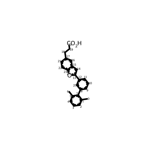 Cc1cccc(C)c1-c1cccc(-c2cc3cc(CCC(=O)O)ccc3o2)c1